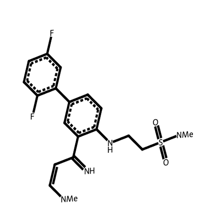 CN/C=C\C(=N)c1cc(-c2cc(F)ccc2F)ccc1NCCS(=O)(=O)NC